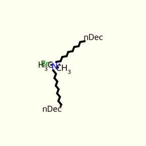 CCCCCCCCCCCCCCCCCCCC[N+](C)(C)CCCCCCCCCCCCCCCCCCCC.[Br-]